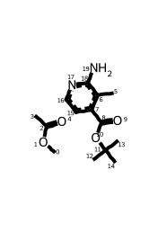 COC(C)=O.Cc1c(C(=O)OC(C)(C)C)ccnc1N